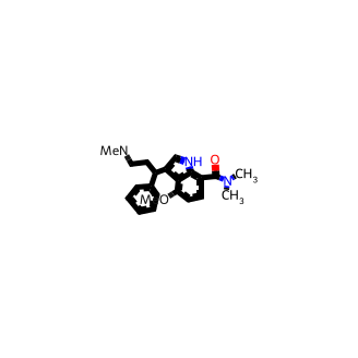 CNCCC(c1ccccc1)c1c[nH]c2c(C(=O)N(C)C)ccc(OC)c12